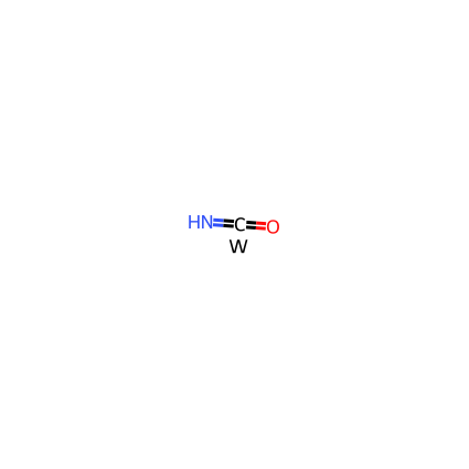 N=C=O.[W]